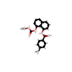 CCCCOC(=O)Oc1cccc2cccc(OC(=O)c3ccc(CCC)cc3)c12